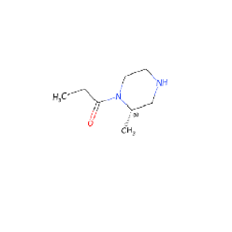 CCC(=O)N1CCNC[C@@H]1C